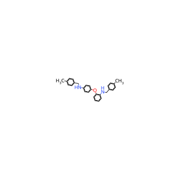 Cc1ccc(CNc2ccc(Oc3ccccc3NCc3ccc(C)cc3)cc2)cc1